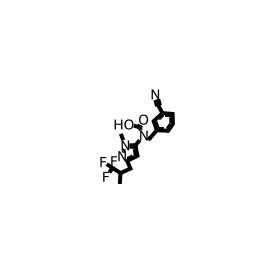 CC(Cc1cc(N(Cc2cccc(C#N)c2)C(=O)O)n(C)n1)C(F)(F)F